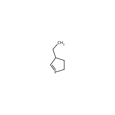 CCC1C=PCC1